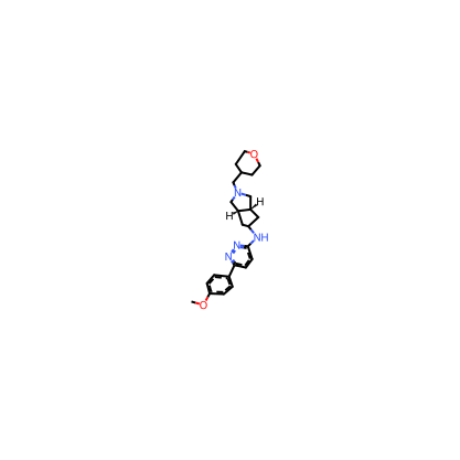 COc1ccc(-c2ccc(NC3C[C@@H]4CN(CC5CCOCC5)C[C@@H]4C3)nn2)cc1